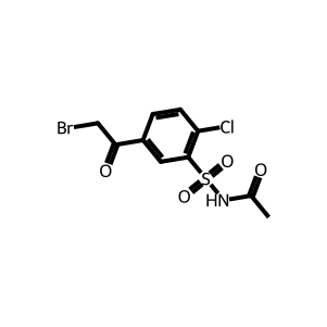 CC(=O)NS(=O)(=O)c1cc(C(=O)CBr)ccc1Cl